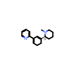 CN1CCCC[C@H]1C1=CC(c2ccccn2)=CC[CH]1